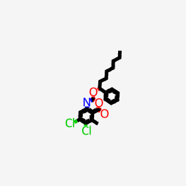 CCCCCCCC(Oc1nc2cc(Cl)c(Cl)c(C)c2c(=O)o1)c1ccccc1